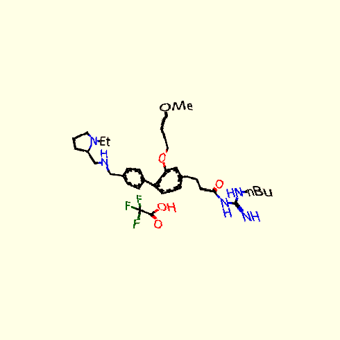 CCCCNC(=N)NC(=O)CCc1ccc(-c2ccc(CNCC3CCCN3CC)cc2)c(OCCCOC)c1.O=C(O)C(F)(F)F